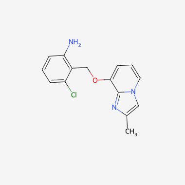 Cc1cn2cccc(OCc3c(N)cccc3Cl)c2n1